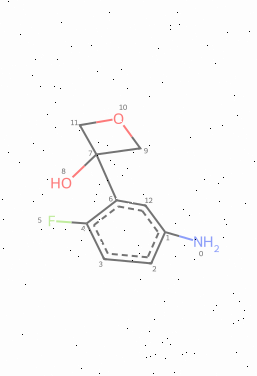 Nc1ccc(F)c(C2(O)COC2)c1